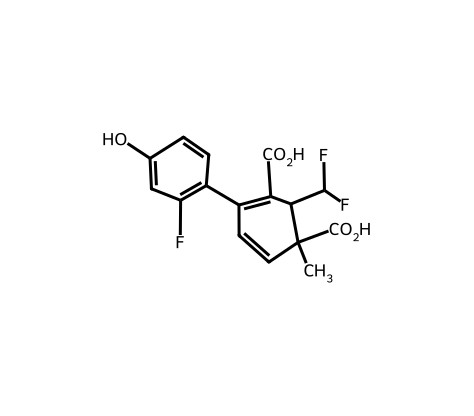 CC1(C(=O)O)C=CC(c2ccc(O)cc2F)=C(C(=O)O)C1C(F)F